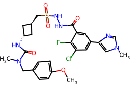 COc1ccc(CN(C)C(=O)N[C@H]2C[C@H](CS(=O)(=O)NNC(=O)c3cc(-c4cn(C)cn4)cc(Cl)c3F)C2)cc1